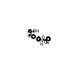 O=C(Nc1ccc([C@H]2CC[C@H](C(=O)N3CCC[C@H]3CO)CC2)cc1)c1onc2ccccc12